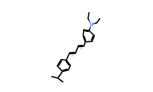 CCN(CC)c1ccc(/C=C/C=C/c2ccc(C(C)C)cc2)cc1